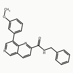 COc1cccc(-c2cncc3ccc(C(=O)NCc4ccccc4)nc23)c1